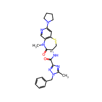 Cc1nc(C(=O)N[C@H]2CSc3cc(N4CCCC4)ncc3N(C)C2=O)nn1Cc1ccccc1